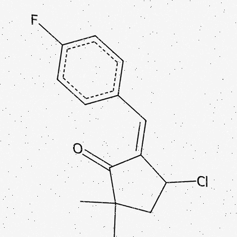 CC1(C)CC(Cl)C(=Cc2ccc(F)cc2)C1=O